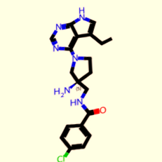 CCc1c[nH]c2ncnc(N3CC[C@](N)(CNC(=O)c4ccc(Cl)cc4)C3)c12